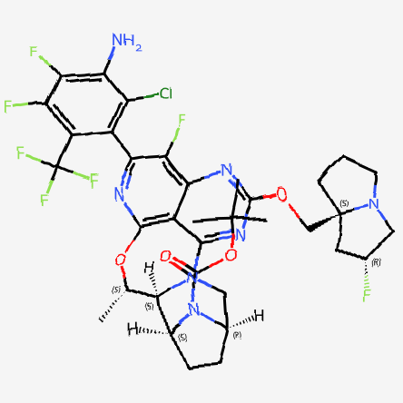 C[C@@H]1Oc2nc(-c3c(Cl)c(N)c(F)c(F)c3C(F)(F)F)c(F)c3nc(OC[C@@]45CCCN4C[C@H](F)C5)nc(c23)N2C[C@H]3CC[C@@H]([C@@H]12)N3C(=O)OC(C)(C)C